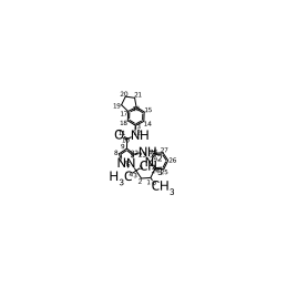 CC(CC(C)(C)n1ncc(C(=O)Nc2ccc3c(c2)CCC3)c1N)c1ccccn1